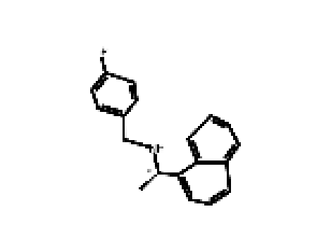 CC(C)c1ccc(CN[C@H](C)c2cccc3ccccc23)cc1